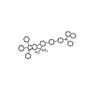 CC1(C)c2cc(-c3ccc(-c4ccc(N(c5ccccc5)c5cccc6ccccc56)cc4)cc3)ccc2-c2cc3c(-c4ccccc4)c(-c4ccccc4)n(-c4ccccc4)c3cc21